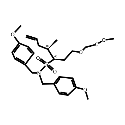 C=CC[C@@H](C)[C@@H](CCOCCOC)S(=O)(=O)N(Cc1ccc(OC)cc1)Cc1ccc(OC)cc1